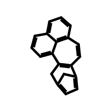 C1=Cc2cccc3cccc(c23)C2=C1C1=CC=C(C1)C2